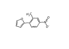 Cc1cc([N+](=O)[O-])ccc1-c1ccco1